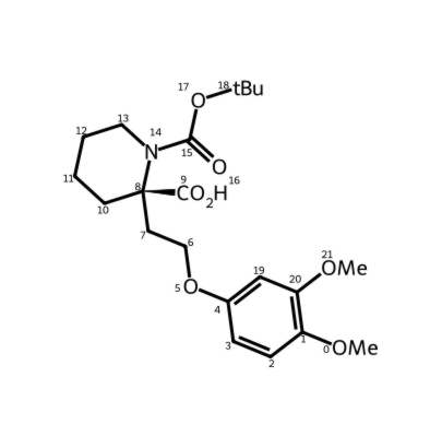 COc1ccc(OCC[C@]2(C(=O)O)CCCCN2C(=O)OC(C)(C)C)cc1OC